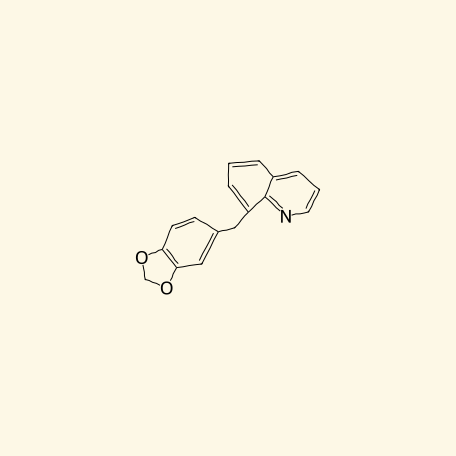 c1cnc2c(Cc3ccc4c(c3)OCO4)cccc2c1